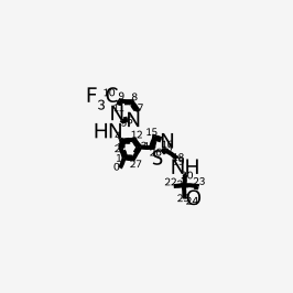 Cc1cc(Nc2nccc(C(F)(F)F)n2)cc(-c2cnc(CNCC3(C)COC3)s2)c1